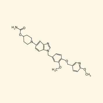 COc1ccc(COc2ccc(Cn3cnc4cc(N5CCC(OC(N)=O)CC5)ccc43)cc2OC)cn1